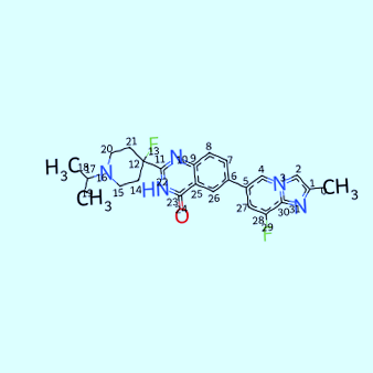 Cc1cn2cc(-c3ccc4nc(C5(F)CCN(C(C)C)CC5)[nH]c(=O)c4c3)cc(F)c2n1